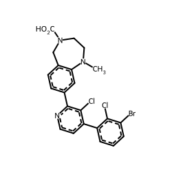 CN1CCN(C(=O)O)Cc2ccc(-c3nccc(-c4cccc(Br)c4Cl)c3Cl)cc21